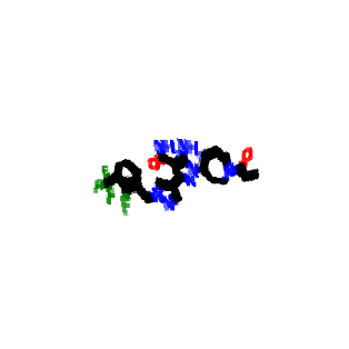 C=CC(=O)N1CCC[C@H](n2nc(-c3cnn(Cc4cccc(C(F)(F)F)c4F)c3)c(C(N)=O)c2N)CC1